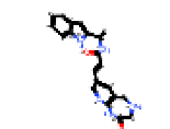 CC(NC(=O)C=Cc1cnc2c(c1)CNCC(=O)N2)c1cc2ccccc2[nH]1